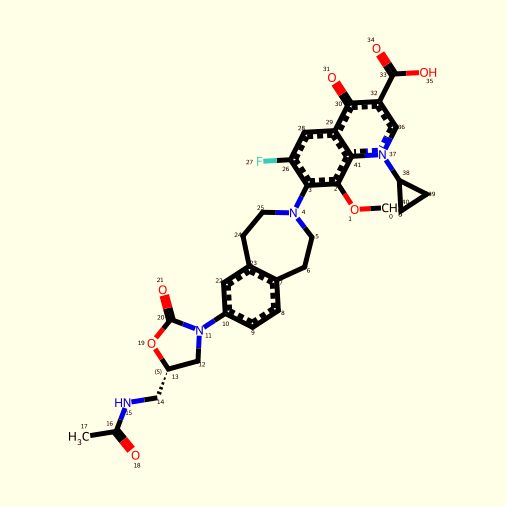 COc1c(N2CCc3ccc(N4C[C@H](CNC(C)=O)OC4=O)cc3CC2)c(F)cc2c(=O)c(C(=O)O)cn(C3CC3)c12